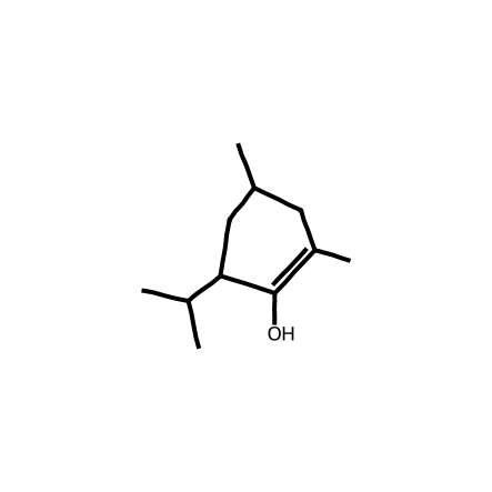 CC1=C(O)C(C(C)C)CC(C)C1